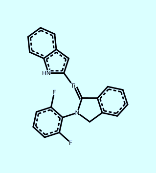 Fc1cccc(F)c1N1Cc2ccccc2[C]1=[Ti][c]1cc2ccccc2[nH]1